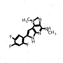 CNc1nc2[nH]c(-c3cc(F)c(F)cc3F)cc2c2c1ncn2C